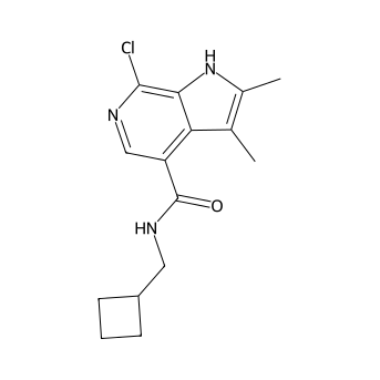 Cc1[nH]c2c(Cl)ncc(C(=O)NCC3CCC3)c2c1C